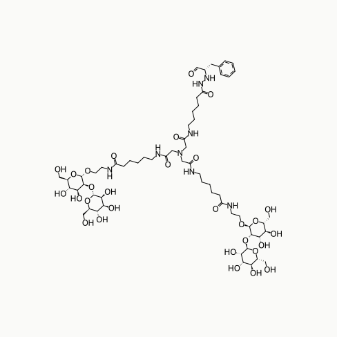 O=C[C@H](Cc1ccccc1)NNC(=O)CCCCCNC(=O)CN(CC(=O)NCCCCCC(=O)NCCO[C@H]1O[C@H](CO)[C@@H](O)[C@H](O)[C@@H]1O[C@H]1O[C@H](CO)[C@@H](O)[C@H](O)[C@@H]1O)CC(=O)NCCCCCC(=O)NCCO[C@H]1O[C@H](CO)[C@@H](O)[C@H](O)[C@@H]1O[C@H]1O[C@H](CO)[C@@H](O)[C@H](O)[C@@H]1O